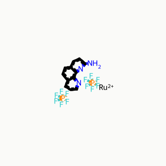 F[P-](F)(F)(F)(F)F.F[P-](F)(F)(F)(F)F.Nc1ccc2ccc3cccnc3c2n1.[Ru+2]